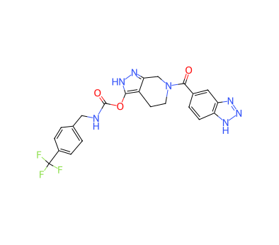 O=C(NCc1ccc(C(F)(F)F)cc1)Oc1[nH]nc2c1CCN(C(=O)c1ccc3[nH]nnc3c1)C2